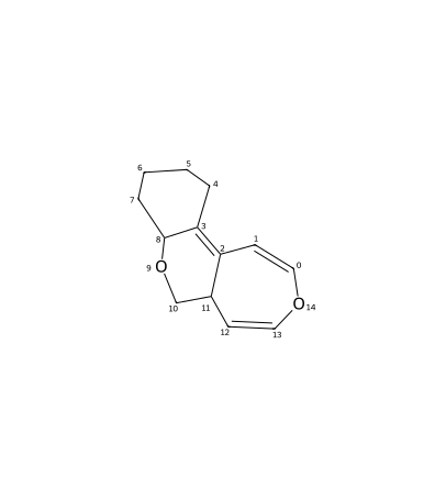 C1=CC2=C3CCCCC3OCC2C=CO1